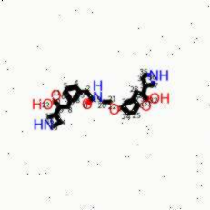 O=C(Cc1cccc(CC(C(=O)O)C2CCNC2)c1)NCCOc1cccc(CC(C(=O)O)C2CCNC2)c1